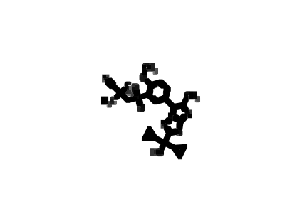 COc1ccc(-c2c(C)nc3sc(C(O)(C4CC4)C4CC4)nn23)cc1S(=O)(=O)CC(C)(C)C#N